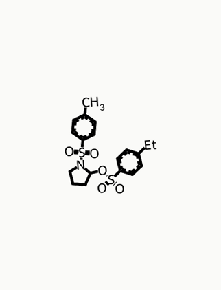 CCc1ccc(S(=O)(=O)OC2CCCN2S(=O)(=O)c2ccc(C)cc2)cc1